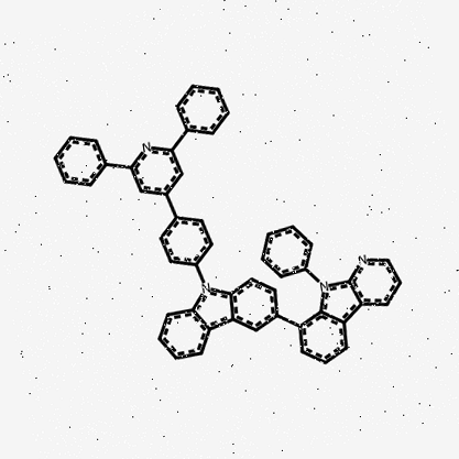 c1ccc(-c2cc(-c3ccc(-n4c5ccccc5c5cc(-c6cccc7c8cccnc8n(-c8ccccc8)c67)ccc54)cc3)cc(-c3ccccc3)n2)cc1